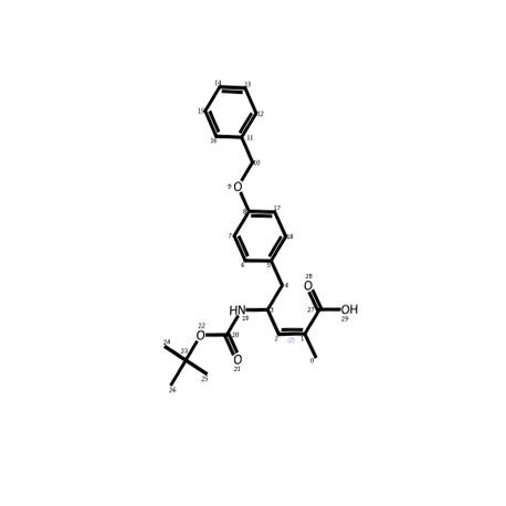 C/C(=C/C(Cc1ccc(OCc2ccccc2)cc1)NC(=O)OC(C)(C)C)C(=O)O